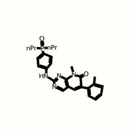 CCCP(=O)(CCC)c1ccc(Nc2ncc3cc(-c4ccccc4C)c(=O)n(C)c3n2)cc1